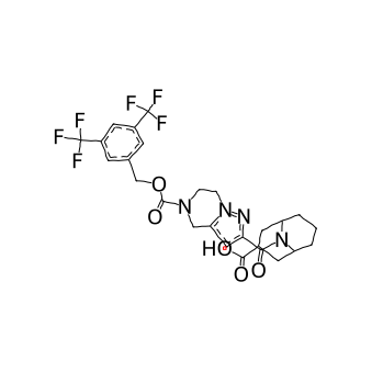 O=C(O)C1CC2CCCC(C1)N2C(=O)c1cc2n(n1)CCN(C(=O)OCc1cc(C(F)(F)F)cc(C(F)(F)F)c1)C2